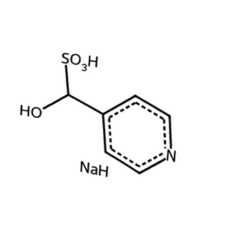 O=S(=O)(O)C(O)c1ccncc1.[NaH]